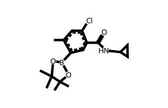 Cc1cc(Cl)c(C(=O)NC2CC2)cc1B1OC(C)(C)C(C)(C)O1